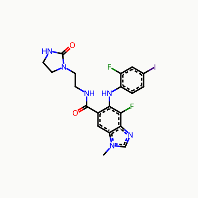 Cn1cnc2c(F)c(Nc3ccc(I)cc3F)c(C(=O)NCCN3CCNC3=O)cc21